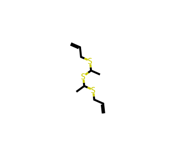 C=CCSC(C)SC(C)SCC=C